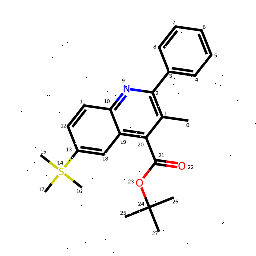 Cc1c(-c2ccccc2)nc2ccc(S(C)(C)C)cc2c1C(=O)OC(C)(C)C